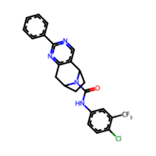 O=C(Nc1ccc(Cl)c(C(F)(F)F)c1)N1C2CCC1c1cnc(-c3ccccc3)nc1C2